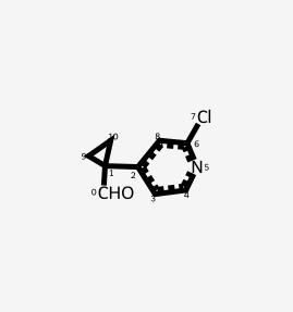 O=CC1(c2ccnc(Cl)c2)CC1